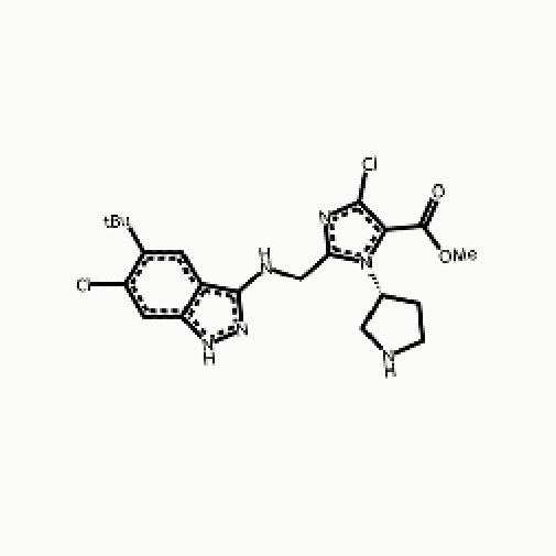 COC(=O)c1c(Cl)nc(CNc2n[nH]c3cc(Cl)c(C(C)(C)C)cc23)n1[C@@H]1CCNC1